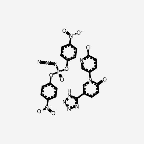 O=c1ccc(-c2nnn[nH]2)cn1-c1ccc(Cl)nc1.[N-]=[N+]=NP(=O)(Oc1ccc([N+](=O)[O-])cc1)Oc1ccc([N+](=O)[O-])cc1